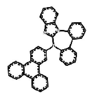 c1ccc2c(c1)-c1ccccc1-n1c(nc3ccccc31)N2c1ccc2c3ccccc3c3ccccc3c2c1